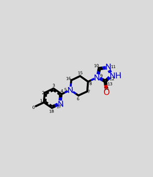 Cc1ccc(N2CCC(n3cn[nH]c3=O)CC2)nc1